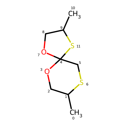 CC1COC2(CS1)OCC(C)S2